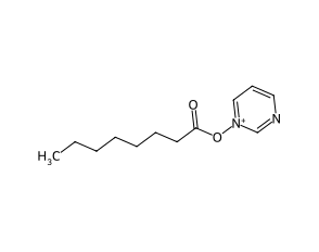 CCCCCCCC(=O)O[n+]1cccnc1